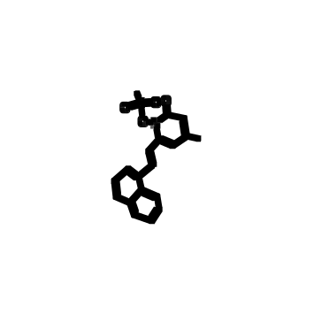 Cc1cc(C=Cc2cccc3ccccc23)n(OS(C)(=O)=O)c(=O)c1